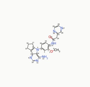 COc1cc(-n2c3c(c4ncnc(N)c42)CCC3)ccc1NC(=O)Cc1cnccn1